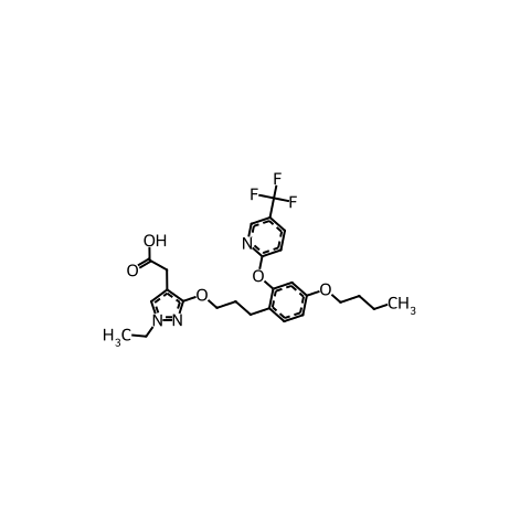 CCCCOc1ccc(CCCOc2nn(CC)cc2CC(=O)O)c(Oc2ccc(C(F)(F)F)cn2)c1